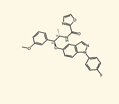 COc1cccc([C@H](Oc2ccc3c(cnn3-c3ccc(F)cc3)c2)[C@H](C)NC(=O)c2ncco2)c1